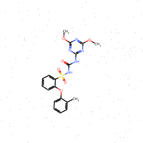 COc1nc(NC(=O)NS(=O)(=O)c2ccccc2Oc2ccccc2C)nc(OC)n1